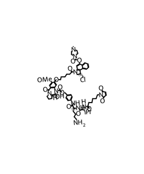 COc1cc2c(cc1OCCCCCC(=O)N1C[C@@H](CCl)c3c1cc(OC(=O)N1CCN(C)CC1)c1ccccc31)N(C(=O)OCc1ccc(NC(=O)[C@H](CCCCN)NC(=O)[C@@H](NC(=O)CCCCCN3C(=O)C=CC3=O)C(C)C)cc1)[C@@H](O)[C@@H]1CCCN1C2=O